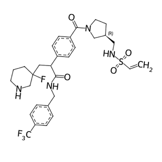 C=CS(=O)(=O)NC[C@@H]1CCN(C(=O)c2ccc(C(CC3(F)CCCNC3)C(=O)NCc3ccc(C(F)(F)F)cc3)cc2)C1